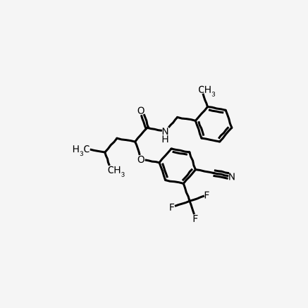 Cc1ccccc1CNC(=O)C(CC(C)C)Oc1ccc(C#N)c(C(F)(F)F)c1